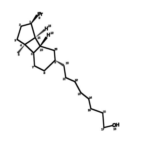 CC(C)[C@@H]1CC[C@]2(C)C3CC[C@@H](CCCCCCCCO)C[C@H]3[C@H]12